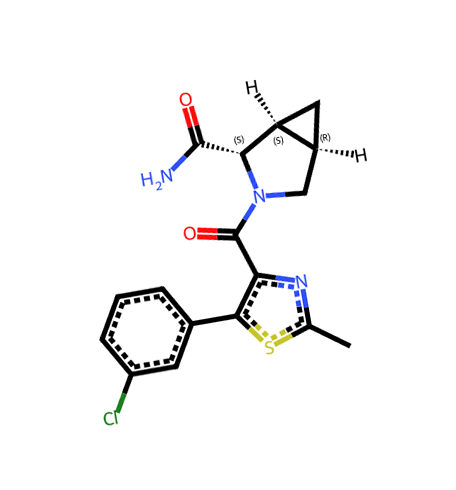 Cc1nc(C(=O)N2C[C@@H]3C[C@@H]3[C@H]2C(N)=O)c(-c2cccc(Cl)c2)s1